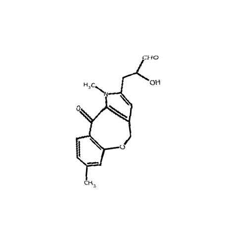 Cc1ccc2c(c1)OCc1cc(CC(O)C=O)n(C)c1C2=O